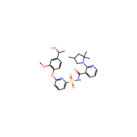 COc1cc(C(C)O)ccc1Oc1cccc(S(=O)(=O)NC(=O)c2cccnc2N2CC(C)CC2(C)C)n1